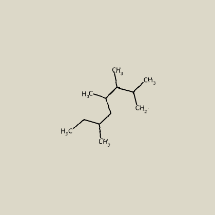 [CH2]C(C)C(C)C(C)CC(C)CC